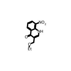 CCOCc1c[nH]c2c([N+](=O)[O-])cccc2c1=O